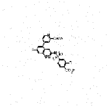 COc1cc(-c2cc(F)cc(C(C)C)c2CC(=O)NS(=O)(=O)c2ccc(C(=O)O)c(Cl)c2)ccn1